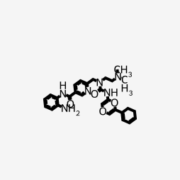 CN(C)CCN(Cc1ccc(C(=O)Nc2ccccc2N)cn1)C(=O)NC1=COC=C(C2=CC=CCC2)O1